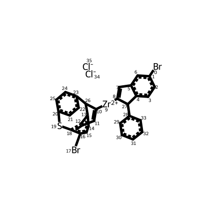 Brc1ccc2c(c1)C=[C]([Zr+2][C]1=Cc3c4ccc(Br)c3Sc3ccc(cc3)C14)C2c1ccccc1.[Cl-].[Cl-]